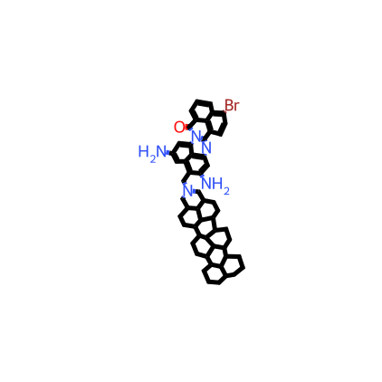 Nc1cc2c(CN3CC4CCC5C6CCC7C8CCCC9CCCC(C%10CCC(C%11CCC(C3)C4C5%11)C6C7%10)C98)c(N)cc3nc4c5ccc(Br)c6cccc(c(=O)n4c(c1)c32)c65